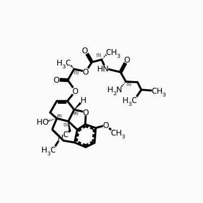 COc1ccc2c3c1O[C@H]1C(OC(=O)[C@H](C)OC(=O)[C@H](C)NC(=O)[C@@H](N)CC(C)C)=CC[C@]4(O)C(C2)N(C)CC[C@]314